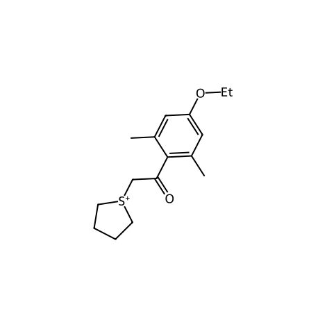 CCOc1cc(C)c(C(=O)C[S+]2CCCC2)c(C)c1